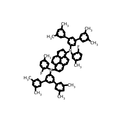 Cc1cc(C)cc(-c2cc(-c3cc(C)cc(C)c3)cc(N(c3cc(C)ccc3F)c3ccc4ccc5c(N(c6cc(-c7cc(C)cc(C)c7)cc(-c7cc(C)cc(C)c7)c6)c6cc(C)ccc6F)ccc6ccc3c4c65)c2)c1